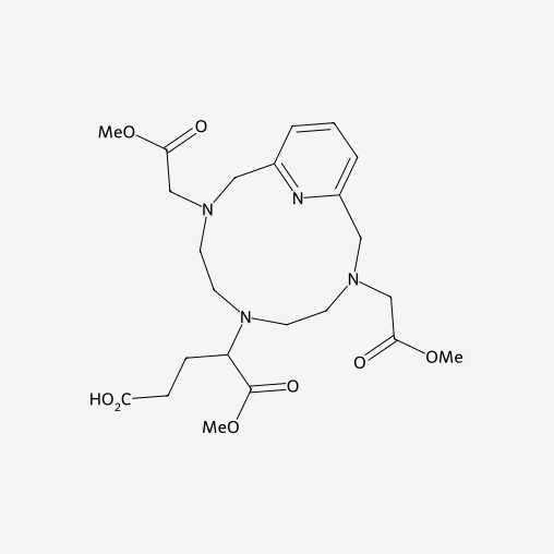 COC(=O)CN1CCN(C(CCC(=O)O)C(=O)OC)CCN(CC(=O)OC)Cc2cccc(n2)C1